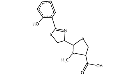 CN1C(C(=O)O)CSC1C1CSC(c2ccccc2O)=N1